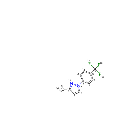 Cc1ccn(-c2ccc(C(F)(F)F)cc2)n1